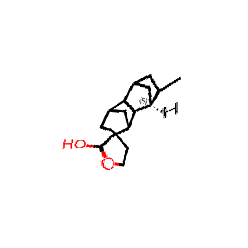 CC1CC2C[C@@H]1C1C2C2CC1C1(CCOC1O)C2